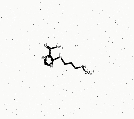 NC(=O)c1[nH]cnc1NCCCNC(=O)O